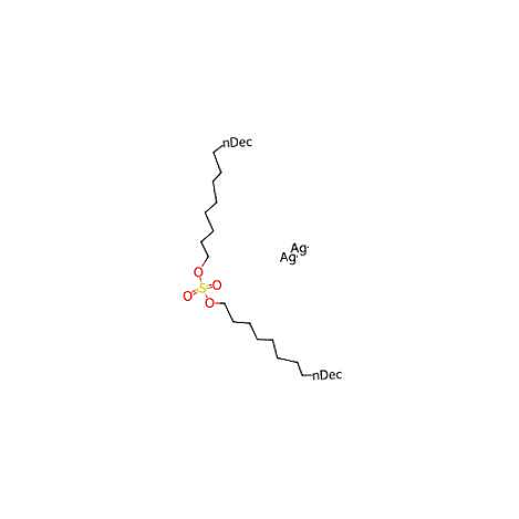 CCCCCCCCCCCCCCCCCCOS(=O)(=O)OCCCCCCCCCCCCCCCCCC.[Ag].[Ag]